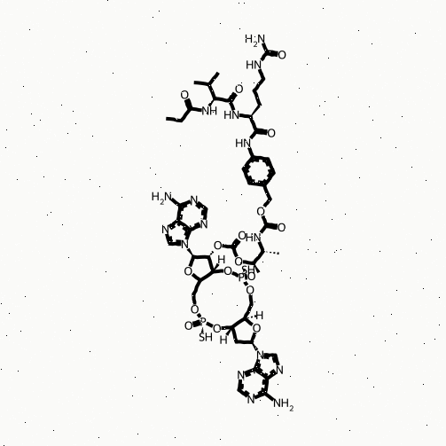 CCC(=O)N[C@H](C(=O)N[C@@H](CCCNC(N)=O)C(=O)Nc1ccc(COC(=O)N[C@H](C)[C@@H](C)OC(=O)O[C@@H]2[C@@H]3O[P@](=O)(S)OC[C@H]4O[C@@H](n5cnc6c(N)ncnc65)C[C@@H]4O[P@](=O)(S)OCC3O[C@H]2n2cnc3c(N)ncnc32)cc1)C(C)C